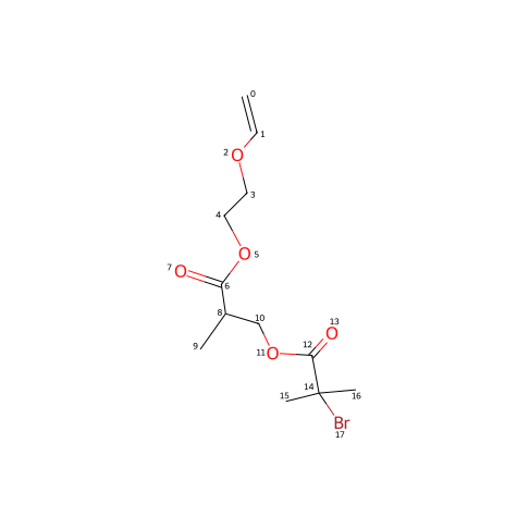 C=COCCOC(=O)C(C)COC(=O)C(C)(C)Br